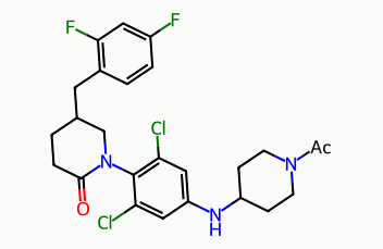 CC(=O)N1CCC(Nc2cc(Cl)c(N3CC(Cc4ccc(F)cc4F)CCC3=O)c(Cl)c2)CC1